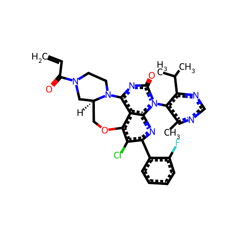 C=CC(=O)N1CCN2c3nc(=O)n(-c4c(C)ncnc4C(C)C)c4nc(-c5ccccc5F)c(Cl)c(c34)OC[C@H]2C1